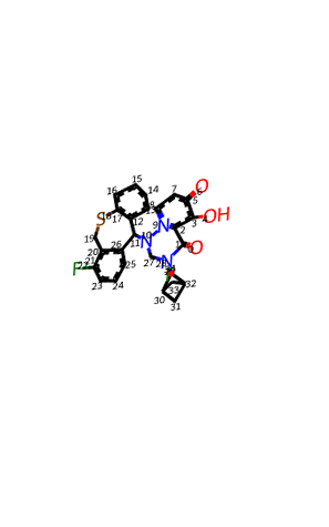 O=C1c2c(O)c(=O)ccn2N(C2c3ccccc3SCc3c(F)cccc32)CN1C1C2CC1C2F